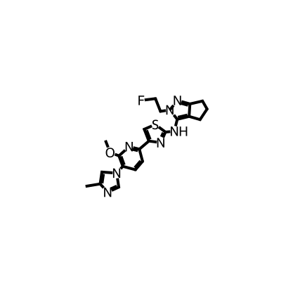 COc1nc(-c2csc(Nc3c4c(nn3CCF)CCC4)n2)ccc1-n1cnc(C)c1